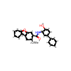 COc1cc2c(cc1C(=O)Nc1cc(-c3ccccc3)ccc1O)oc1ccccc12